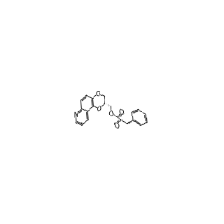 O=S(=O)(Cc1ccccc1)OC[C@H]1COc2ccc3ncccc3c2O1